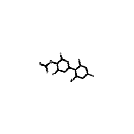 CC1CC(F)C(C2CC(F)C(OC(F)F)C(F)C2)C(F)C1